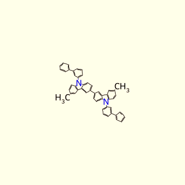 Cc1ccc2c(c1)c1cc(-c3ccc4c(c3)c3cc(C)ccc3n4-c3cccc(-c4ccccc4)c3)ccc1n2-c1cccc(-c2ccccc2)c1